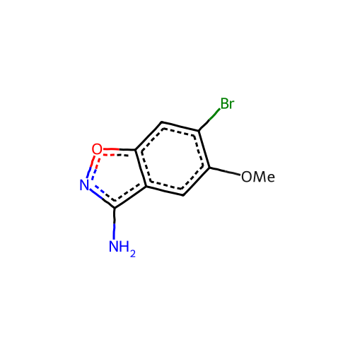 COc1cc2c(N)noc2cc1Br